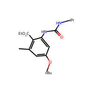 CCCCOc1cc(C)c(C(=O)OCC)c(NC(=O)NC(C)C)c1